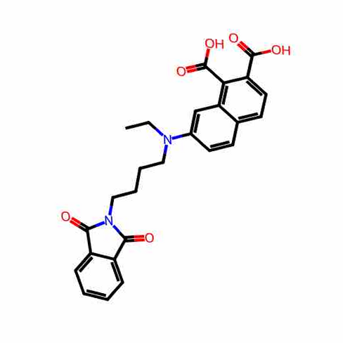 CCN(CCCCN1C(=O)c2ccccc2C1=O)c1ccc2ccc(C(=O)O)c(C(=O)O)c2c1